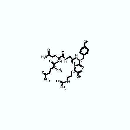 N=C(N)NCCC[C@H](NC(=O)[C@H](Cc1ccc(O)cc1)NC(=O)CNC(=O)[C@H](CCC(N)=O)NC(=O)[C@@H](N)CCC(N)=O)C(=O)O